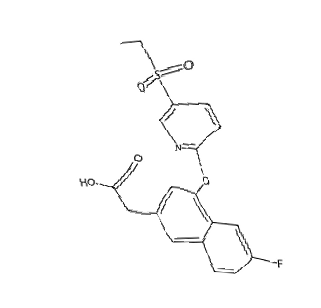 CCS(=O)(=O)c1ccc(Oc2cc(CC(=O)O)cc3ccc(F)cc23)nc1